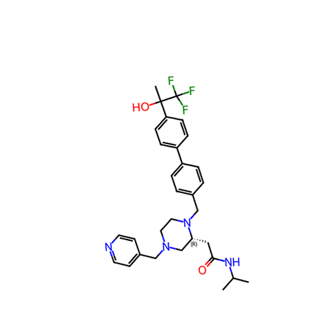 CC(C)NC(=O)C[C@@H]1CN(Cc2ccncc2)CCN1Cc1ccc(-c2ccc(C(C)(O)C(F)(F)F)cc2)cc1